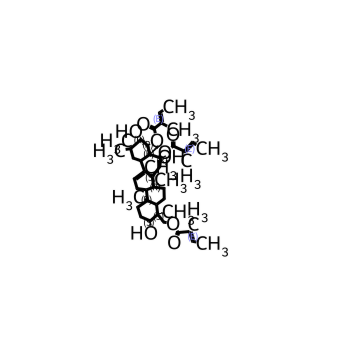 C/C=C(\C)C(=O)OC[C@@]12C(CC(C)(C)[C@@H](O)[C@@H]1OC(=O)/C(C)=C/C)C1=CCC3[C@@]4(C)CC[C@H](O)[C@](C)(COC(=O)/C(C)=C/C)C4CC[C@@]3(C)[C@]1(C)C[C@H]2O